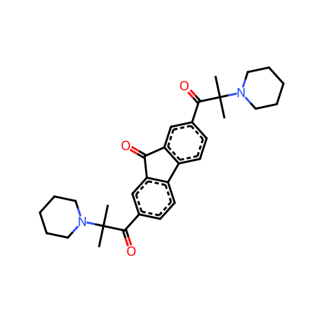 CC(C)(C(=O)c1ccc2c(c1)C(=O)c1cc(C(=O)C(C)(C)N3CCCCC3)ccc1-2)N1CCCCC1